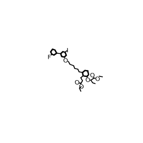 CCOC(=O)CCc1c(CCCCCCOc2cc(I)cc(-c3cccc(F)c3)c2)cccc1OC(CC)C(=O)OCC